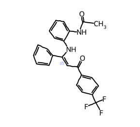 CC(=O)Nc1ccccc1N/C(=C\C(=O)c1ccc(C(F)(F)F)cc1)c1ccccc1